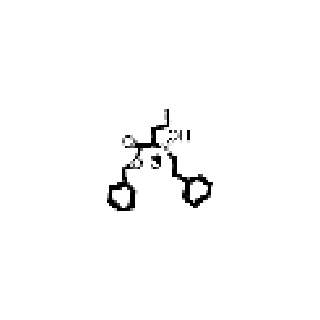 CCCC(C(=O)OCc1ccccc1)P(=O)(O)CCc1ccccc1